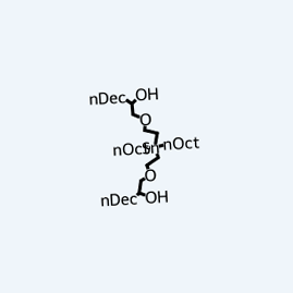 CCCCCCCCCCC(O)COC[CH2][Sn]([CH2]CCCCCCC)([CH2]CCCCCCC)[CH2]COCC(O)CCCCCCCCCC